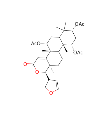 CC(=O)O[C@H]1C[C@@H](OC(C)=O)C(C)(C)C2C[C@@H](OC(C)=O)[C@@]3(C)C4=CC(=O)O[C@H](C5C=COC5)[C@]4(C)CCC3[C@]21C